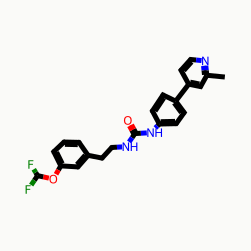 Cc1cc(-c2ccc(NC(=O)NCCc3cccc(OC(F)F)c3)cc2)ccn1